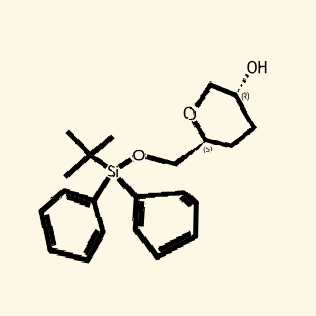 CC(C)(C)[Si](OC[C@@H]1CC[C@@H](O)CO1)(c1ccccc1)c1ccccc1